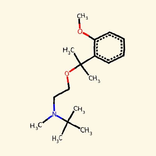 COc1ccccc1C(C)(C)OCCN(C)C(C)(C)C